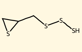 SSSCC1CS1